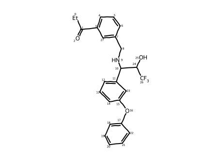 CCC(=O)c1cccc(CNC(c2cccc(Oc3ccccc3)c2)C(O)C(F)(F)F)c1